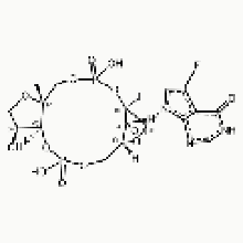 C[C@@]12COP(=O)(O)O[C@@H]3[C@H](O)[C@@H](COP(=O)(O)O[C@H]1[C@@H](O)CO2)O[C@H]3n1cc(F)c2c(=O)[nH]cnc21